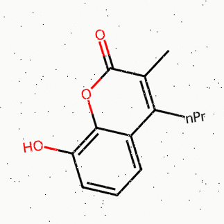 CCCc1c(C)c(=O)oc2c(O)cccc12